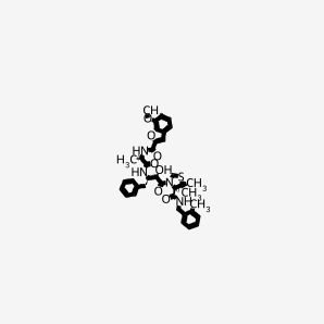 COc1cccc2cc(C(=O)N[C@@H](C)C(=O)N[C@@H](Cc3ccccc3)[C@H](O)C(=O)N3CSC(C)(C)[C@H]3C(=O)NCc3ccccc3C)oc12